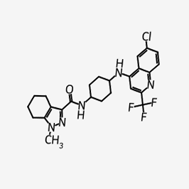 Cn1nc(C(=O)NC2CCC(Nc3cc(C(F)(F)F)nc4ccc(Cl)cc34)CC2)c2c1CCCC2